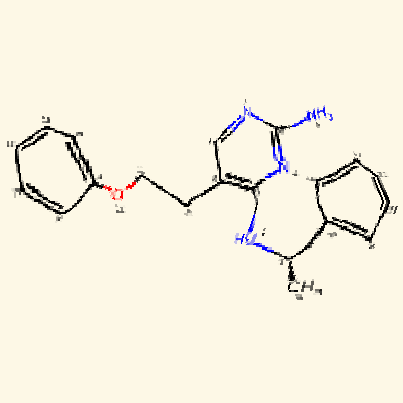 C[C@@H](Nc1nc(N)ncc1CCOc1ccccc1)c1ccccc1